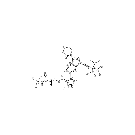 CC(C)[Si](C#Cc1nn(C2CCCCO2)c2cnc(-c3cnn(C)c3OCCNC(=O)OC(C)(C)C)cc12)(C(C)C)C(C)C